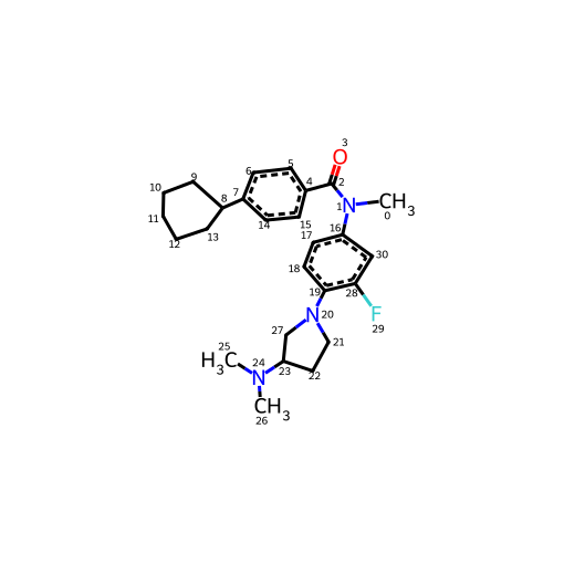 CN(C(=O)c1ccc(C2CCCCC2)cc1)c1ccc(N2CCC(N(C)C)C2)c(F)c1